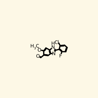 COc1cc2[nH]c(-c3c(F)cccc3Cl)nc2cc1C=O